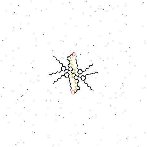 CCCCCCc1cc(CCCCCC)cc(C2(c3cc(CCCCCC)cc(CCCCCC)c3)c3cc(-c4ccc(C=O)s4)sc3-c3sc4c5c(sc4c32)-c2sc(-c3ccc(C=O)s3)cc2C5(c2cc(CCCCCC)cc(CCCCCC)c2)c2cc(CCCCCC)cc(CCCCCC)c2)c1